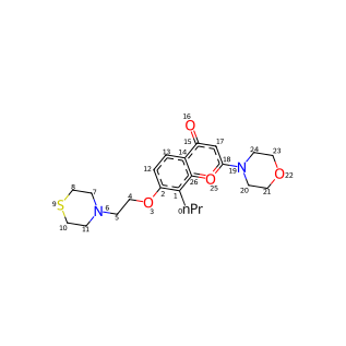 CCCc1c(OCCN2CCSCC2)ccc2c(=O)cc(N3CCOCC3)oc12